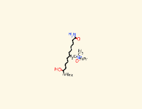 CCCCCCC(O)CCCCCCCCCCC(N)=O.CCC[N+](C)(C)[O-]